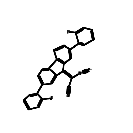 [C-]#[N+]C(C#N)=C1c2cc(-c3ccccc3F)ccc2-c2ccc(-c3ccccc3F)cc21